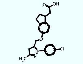 CC1=NN(c2ccc(Cl)cc2)C(COc2ccc3c(c2)CCC3CC(=O)O)C1